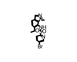 CCc1ccc2cnn(C)c2c1NS(=O)(=O)c1ccc(Br)cn1